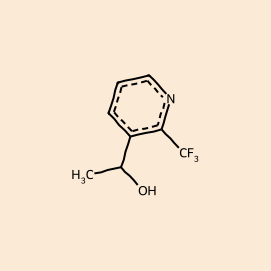 CC(O)c1cccnc1C(F)(F)F